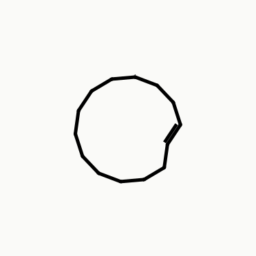 [CH]1CC/C=C/CCCCCCCCC1